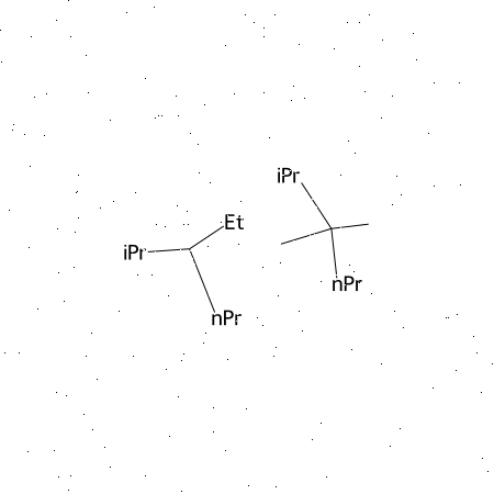 CCCC(C)(C)C(C)C.CCCC(CC)C(C)C